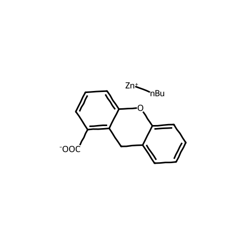 CCC[CH2][Zn+].O=C([O-])c1cccc2c1Cc1ccccc1O2